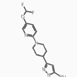 Nc1cc(C2CCN(c3ccc(OC(F)F)cn3)CC2)n[nH]1